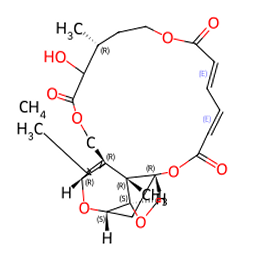 C.CC1=C[C@H]2O[C@H]3C[C@H]4OC(=O)/C=C/C=C/C(=O)OCC[C@@H](C)C(O)C(=O)OC[C@@]2(CC1)[C@@]4(C)[C@]31CO1